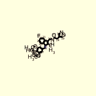 COc1cc(/C=C2/C(C)=C(CNC(=O)Cc3cnoc3)c3cc(F)ccc32)cc(OC)c1B(O)O